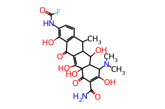 CC1c2ccc(NC(=O)F)c(O)c2C(=O)C2=C(O)C3(O)C(=O)C(C(N)=O)=C(O)C(N(C)C)C3C(O)C21